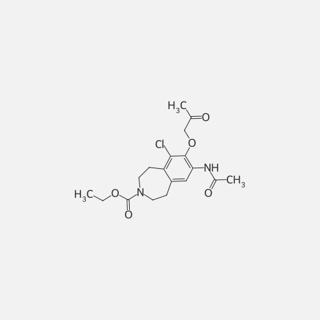 CCOC(=O)N1CCc2cc(NC(C)=O)c(OCC(C)=O)c(Cl)c2CC1